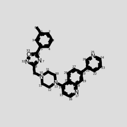 Cc1cccc(-c2nc(CN3CCN(c4ccnc5cc(-c6cccnc6)ccc45)CC3)no2)c1